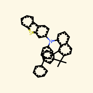 CC1(C)c2ccccc2-c2c1ccc1cccc(N(c3ccc(-c4ccccc4)cc3)c3ccc4c(c3)sc3ccccc34)c21